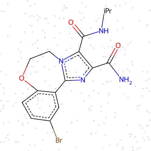 CC(C)NC(=O)c1c(C(N)=O)nc2n1CCOc1ccc(Br)cc1-2